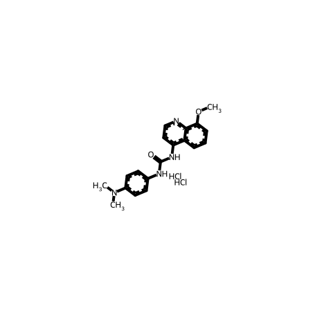 COc1cccc2c(NC(=O)Nc3ccc(N(C)C)cc3)ccnc12.Cl.Cl